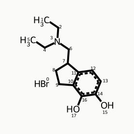 Br.CCN(CC)CC1CCc2c1ccc(O)c2O